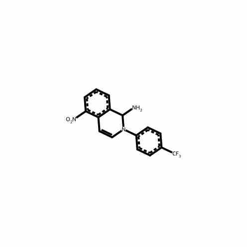 NC1c2cccc([N+](=O)[O-])c2C=CN1c1ccc(C(F)(F)F)cc1